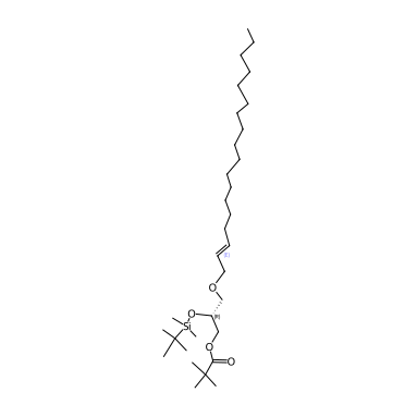 CCCCCCCCCCCCCCC/C=C/COC[C@H](COC(=O)C(C)(C)C)O[Si](C)(C)C(C)(C)C